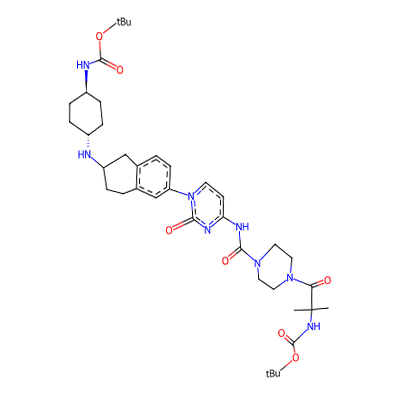 CC(C)(C)OC(=O)NC(C)(C)C(=O)N1CCN(C(=O)Nc2ccn(-c3ccc4c(c3)CCC(N[C@H]3CC[C@H](NC(=O)OC(C)(C)C)CC3)C4)c(=O)n2)CC1